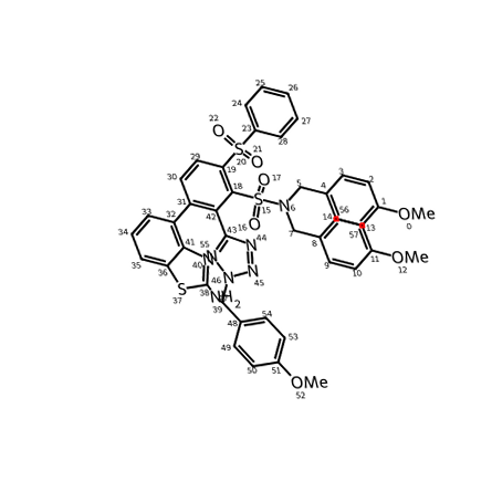 COc1ccc(CN(Cc2ccc(OC)cc2)S(=O)(=O)c2c(S(=O)(=O)c3ccccc3)ccc(-c3cccc4sc(N)nc34)c2-c2nnn(Cc3ccc(OC)cc3)n2)cc1